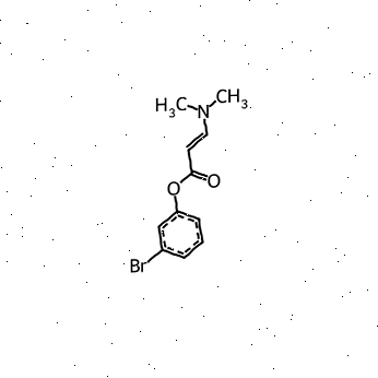 CN(C)/C=C/C(=O)Oc1cccc(Br)c1